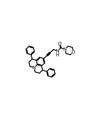 O=C(NCC#Cc1cc2c3c(c1)C(c1ccccc1)CCN3CCC2c1ccccc1)N1CCOCC1